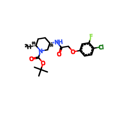 [2H][C@@H]1CC[C@H](NC(=O)COc2ccc(Cl)c(F)c2)CN1C(=O)OC(C)(C)C